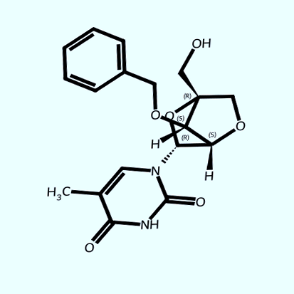 Cc1cn([C@@H]2O[C@]3(CO)CO[C@H]2[C@@H]3OCc2ccccc2)c(=O)[nH]c1=O